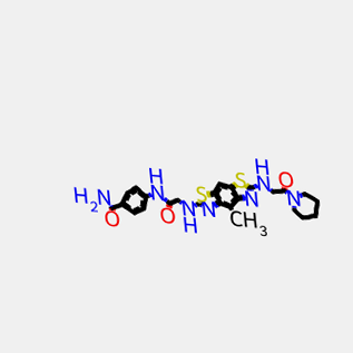 Cc1c2nc(NCC(=O)Nc3ccc(C(N)=O)cc3)sc2cc2sc(NCC(=O)N3CCCCC3)nc12